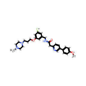 CCOc1ccc(-c2ccc(CC(=O)NCc3cc(F)cc(OCCCN4CCN(C)CC4)c3)nc2)cc1